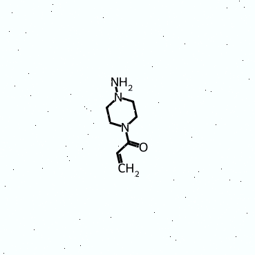 C=CC(=O)N1CCN(N)CC1